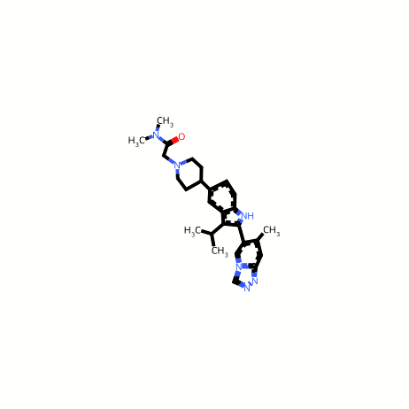 Cc1cc2nncn2cc1-c1[nH]c2ccc(C3CCN(CC(=O)N(C)C)CC3)cc2c1C(C)C